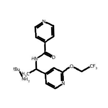 CC(C)(C)N.CC(NC(=O)c1ccncc1)c1ccnc(OCC(F)(F)F)c1